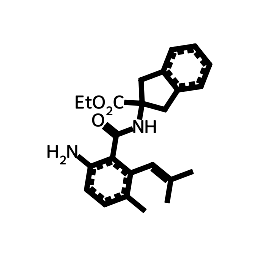 CCOC(=O)C1(NC(=O)c2c(N)ccc(C)c2C=C(C)C)Cc2ccccc2C1